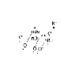 CCCC[O-].CCCC[O-].CCCC[O-].[K+].[K+].[K+]